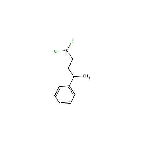 CC(CC[SiH](Cl)Cl)c1ccccc1